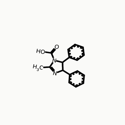 CC1=NC(c2ccccc2)C(c2ccccc2)N1C(=O)O